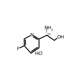 Cl.N[C@H](CO)c1ccc(F)cn1